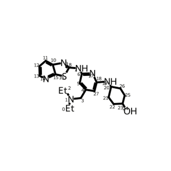 CCN(CC)Cc1cc(Nc2nc3cccnc3s2)nc(NC2CCC(O)CC2)c1